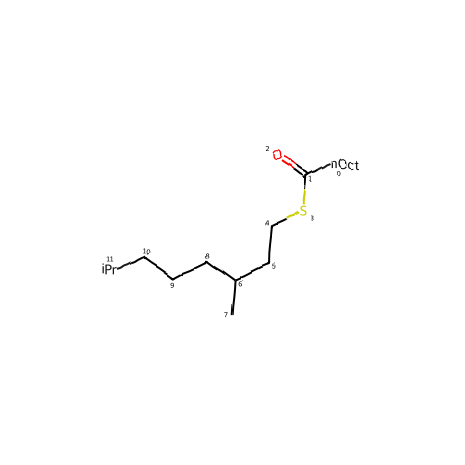 CCCCCCCCC(=O)SCCC(C)CCCC(C)C